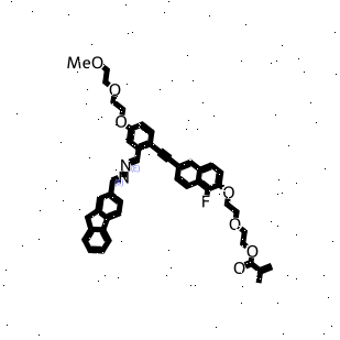 C=C(C)C(=O)OCCOCCOc1ccc2cc(C#Cc3ccc(OCCOCCOC)cc3/C=N/N=C/c3ccc4c(c3)Cc3ccccc3-4)ccc2c1F